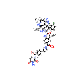 COc1cc(C(=O)N2CC[C@H](c3ccc4c(c3)CN(C3CCC(=O)NC3=O)C4=O)C2)ccc1NC(=O)[C@@H]1N[C@@H](CC(C)(C)C)[C@@]2(CNc3cc(C(F)(F)F)ncc32)[C@H]1c1cccc(Cl)c1F